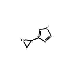 c1nocc1C1CO1